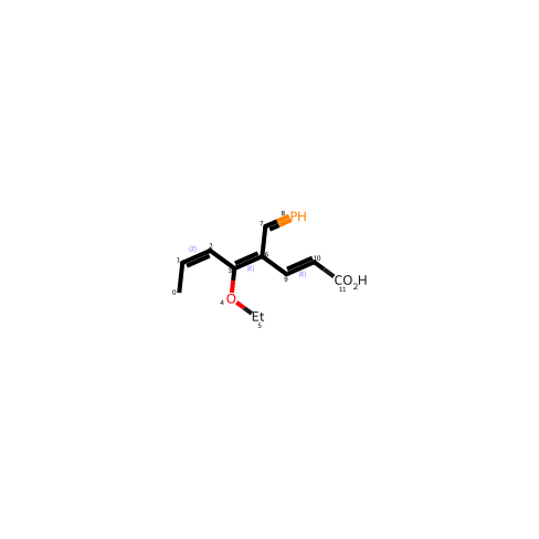 C\C=C/C(OCC)=C(C=P)/C=C/C(=O)O